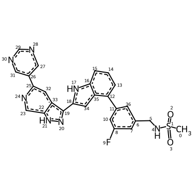 CS(=O)(=O)NCc1cc(F)cc(-c2cccc3[nH]c(-c4n[nH]c5cnc(-c6cncnc6)cc45)cc23)c1